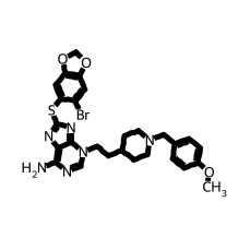 COc1ccc(CN2CCC(CCn3cnc(N)c4nc(Sc5cc6c(cc5Br)OCO6)nc3-4)CC2)cc1